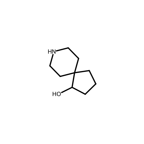 OC1CCCC12CCNCC2